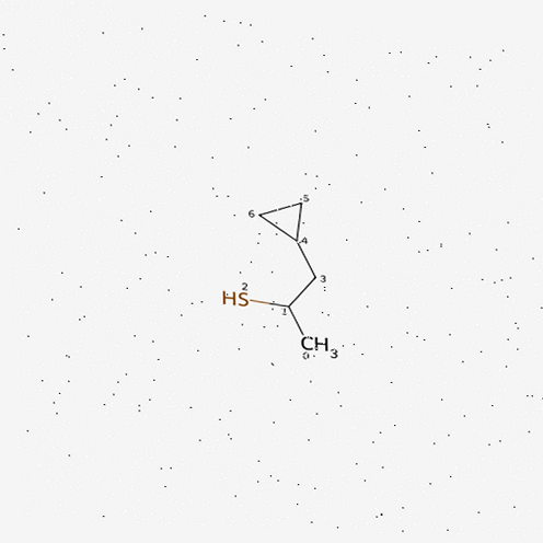 CC(S)CC1CC1